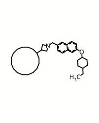 CCC1CCC(Oc2ccc3cc(CN4CC(C5CCCCCCCCCCCCCCC5)C4)ccc3c2)CC1